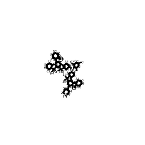 Cc1cc(C)c(N(c2ccc3c(c2)C(C)(C)c2cc(-c4ccncc4)c4oc5ccccc5c4c2-3)c2ccc3c(c2)C(C)(C)c2c4c(c5c(oc6ccccc65)c2-3)-c2ccccc2C4(C)C)c(C)c1